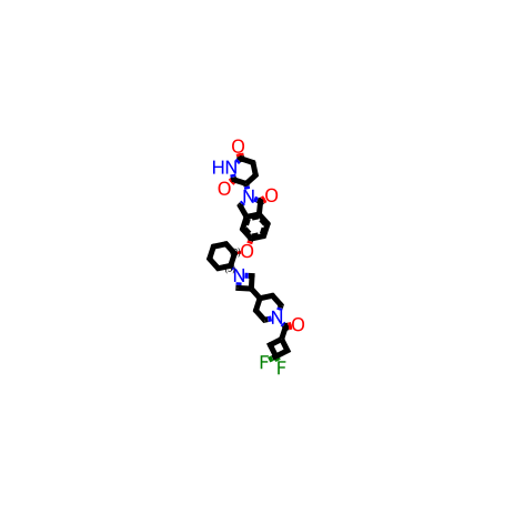 O=C1CCC(N2Cc3cc(O[C@@H]4CCCC[C@@H]4N4CC(C5CCN(C(=O)C6CC(F)(F)C6)CC5)C4)ccc3C2=O)C(=O)N1